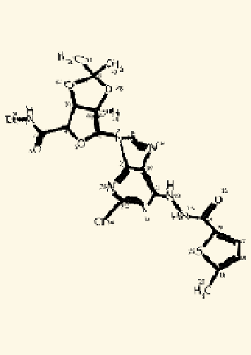 CCNC(=O)C1OC(n2cnc3c(NNC(=O)c4ccc(C)s4)nc(Cl)nc32)[C@@H]2OC(C)(C)OC12